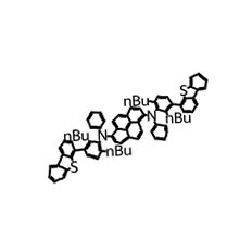 CCCCc1ccc(-c2cccc3c2sc2ccccc23)c(CCCC)c1N(c1ccccc1)c1ccc2ccc3c(N(c4ccccc4)c4c(CCCC)ccc(-c5cccc6c5sc5ccccc56)c4CCCC)ccc4ccc1c2c43